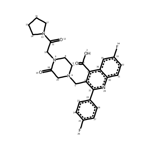 O=C(O)c1c(CN2CCN(CC(=O)N3CCCC3)C(=O)C2)c(-c2ccc(F)cc2)nc2ccc(F)cc12